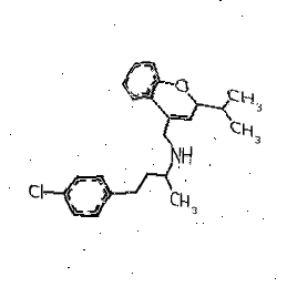 CC(CCc1ccc(Cl)cc1)NCC1=CC(C(C)C)Oc2ccccc21